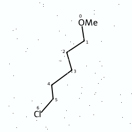 COCC[CH]CCCl